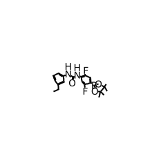 CCc1cccc(NC(=O)Nc2cc(F)c(B3OC(C)(C)C(C)(C)O3)cc2F)c1